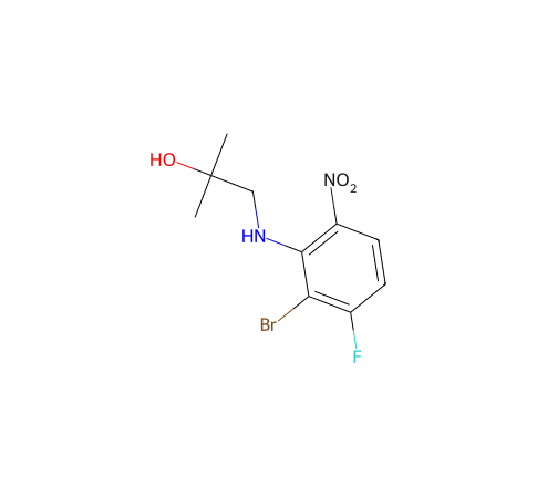 CC(C)(O)CNc1c([N+](=O)[O-])ccc(F)c1Br